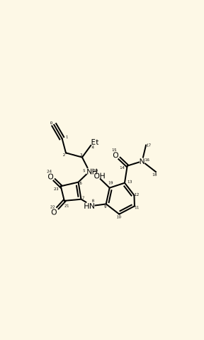 C#CCC(CC)Nc1c(Nc2cccc(C(=O)N(C)C)c2O)c(=O)c1=O